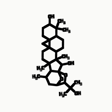 CC1CC2OC3(OC2C(C)(C)O)C1C1(C)CCC24CC25CCC(O)C(C)(C)C5CCC4C1(C)C3O